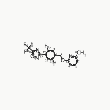 Cc1cccc(OCc2cc(F)c(-c3noc(C(F)(F)F)n3)cc2F)n1